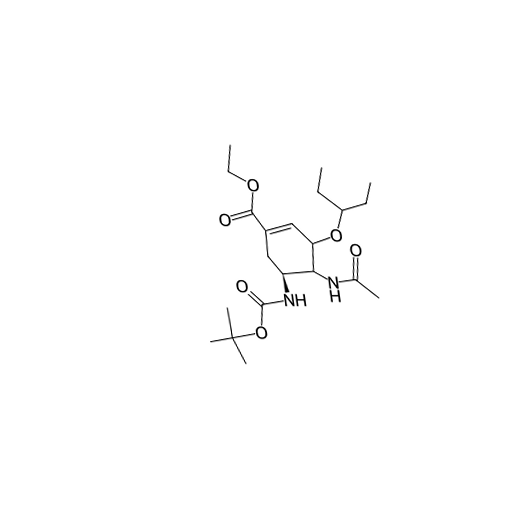 CCOC(=O)C1=CC(OC(CC)CC)C(NC(C)=O)[C@@H](NC(=O)OC(C)(C)C)C1